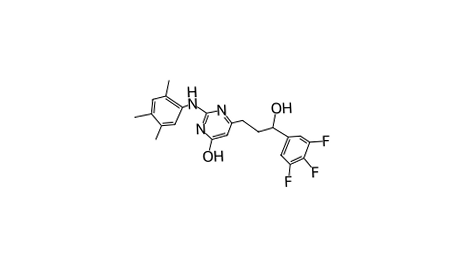 Cc1cc(C)c(Nc2nc(O)cc(CCC(O)c3cc(F)c(F)c(F)c3)n2)cc1C